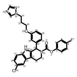 O=C(Oc1ccc(F)cc1)N1CCc2c([nH]c3ccc(Cl)cc23)C1c1cccc(OCCCn2cncn2)c1